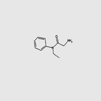 [CH2]CN(C(=O)CN)c1ccccc1